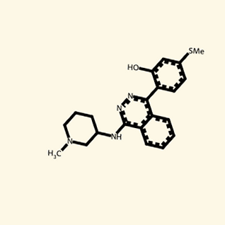 CSc1ccc(-c2nnc(NC3CCCN(C)C3)c3ccccc23)c(O)c1